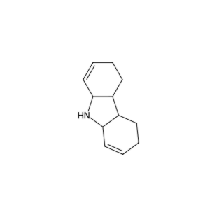 C1=CC2NC3C=CCCC3C2CC1